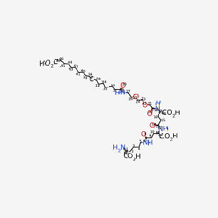 N[C@@H](CCCCNC(=O)CC[C@H](NC(=O)CC[C@H](NC(=O)COCCOCCNC(=O)CCCCCCCCCCCCCCCCC(=O)O)C(=O)O)C(=O)O)C(=O)O